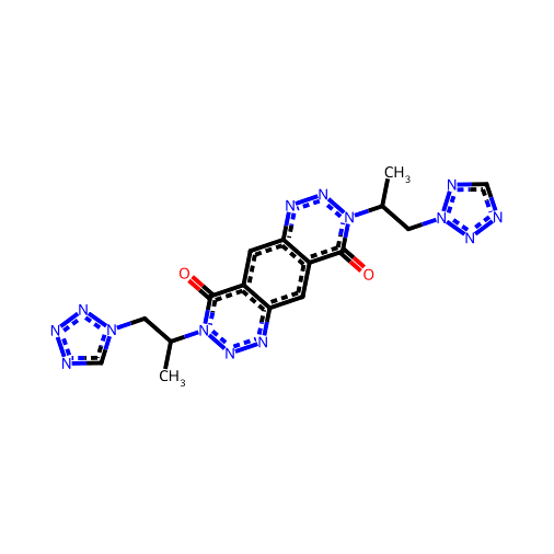 CC(Cn1cnnn1)n1nnc2cc3c(=O)n(C(C)Cn4ncnn4)nnc3cc2c1=O